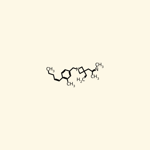 C=CC1(C/C(C)=N\C)CN(Cc2ccc(/C=C\CCC)c(C)c2)C1